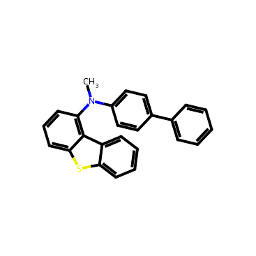 CN(c1ccc(-c2ccccc2)cc1)c1cccc2sc3ccccc3c12